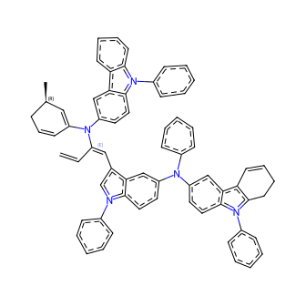 C=C/C(=C\c1cn(-c2ccccc2)c2ccc(N(c3ccccc3)c3ccc4c(c3)c3c(n4-c4ccccc4)CCC=C3)cc12)N(C1=C[C@H](C)CC=C1)c1ccc2c(c1)c1ccccc1n2-c1ccccc1